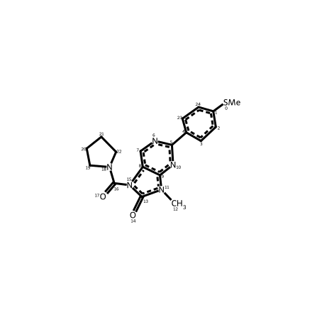 CSc1ccc(-c2ncc3c(n2)n(C)c(=O)n3C(=O)N2CCCC2)cc1